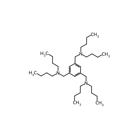 CCCCN(CCCC)Cc1cc(CN(CCCC)CCCC)cc(CN(CCCC)CCCC)c1